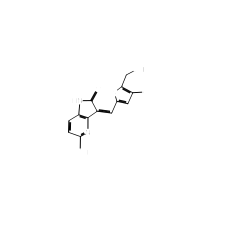 CCc1sc(C=C2C(=O)Nc3ccc(C)nc32)cc1C